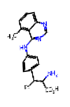 CCC(c1ccc(Nc2ncnc3cccc(C)c23)cc1)C(N)C(=O)O